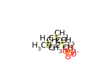 C[S+](C)C.C[S+](C)C.C[S+](C)C.O=P([O-])([O-])[O-]